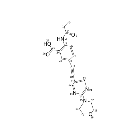 CCC(=O)Nc1ccc(C#Cc2cnc(N3CCOCC3)nc2)cc1C(=O)O